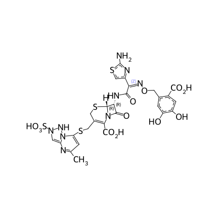 CC1=NC2=CN(S(=O)(=O)O)NN2C(SCC2=C(C(=O)O)N3C(=O)[C@@H](NC(=O)/C(=N\OCc4cc(O)c(O)cc4C(=O)O)c4csc(N)n4)[C@H]3SC2)=C1